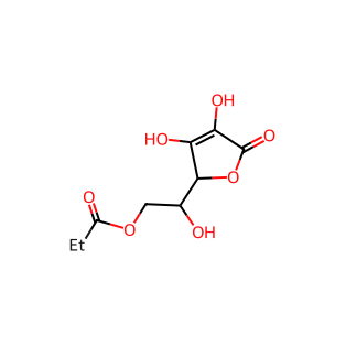 CCC(=O)OCC(O)C1OC(=O)C(O)=C1O